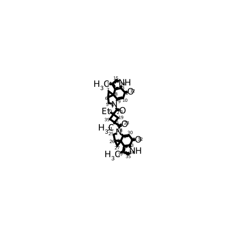 CCC1(C(=O)N2CC3CC34C2=CC(=O)c2[nH]cc(C)c24)CC(C)(C(=O)N2CC3CC34C2=CC(=O)c2[nH]cc(C)c24)C1